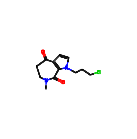 CN1CCC(=O)c2ccn(CCCCl)c2C1=O